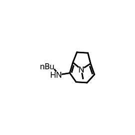 CCCCNC1=C2CCC(=CCC1)N2C